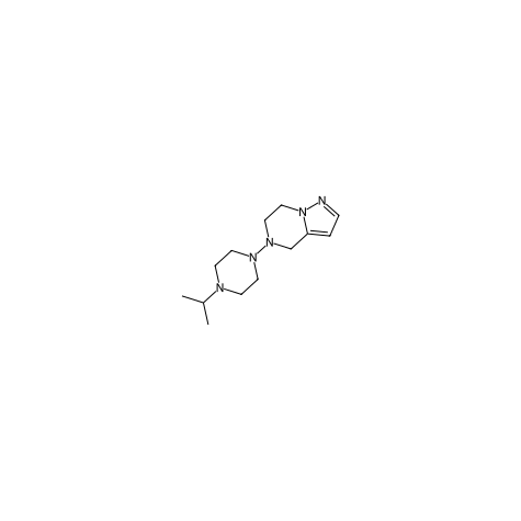 CC(C)N1CCN(N2CCn3nccc3C2)CC1